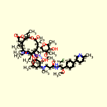 CC[C@H]1OC(=O)[C@H](C)C([C@H]2C[C@@](C)(OC)[C@@H](O)[C@H](C)O2)[C@@H]2C(N)CNC(C)([C@H](C)C[C@@](C)(OC)[C@@H]2O[C@@H]2O[C@H](C)C[C@H](N(C)CCC(=O)N[C@H](CF)[C@H](OC)c3ccc(-c4ccc(C)nc4)cc3)[C@H]2O)[C@H](C)[C@H]2CC(=O)O[C@@]21C